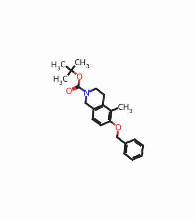 Cc1c(OCc2ccccc2)ccc2c1CCN(C(=O)OC(C)(C)C)C2